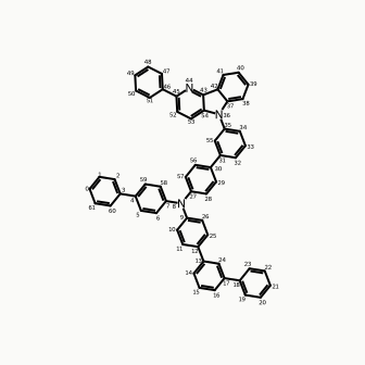 c1ccc(-c2ccc(N(c3ccc(-c4cccc(-c5ccccc5)c4)cc3)c3ccc(-c4cccc(-n5c6ccccc6c6nc(-c7ccccc7)ccc65)c4)cc3)cc2)cc1